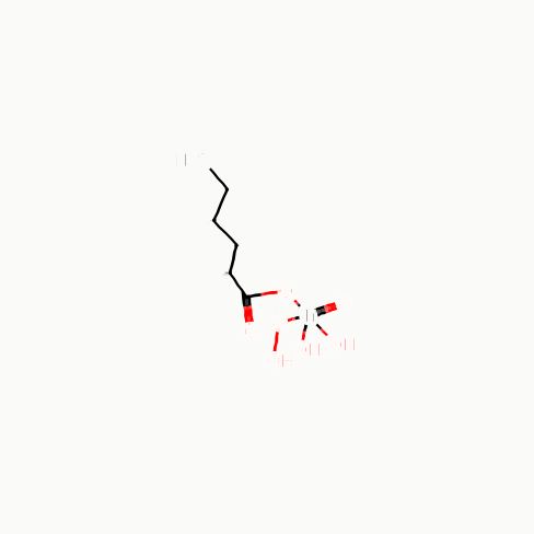 CCCCCC(=O)[O][Ti](=[O])([OH])([OH])[O]O